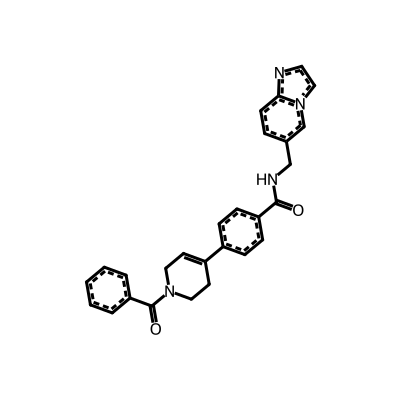 O=C(NCc1ccc2nccn2c1)c1ccc(C2=CCN(C(=O)c3ccccc3)CC2)cc1